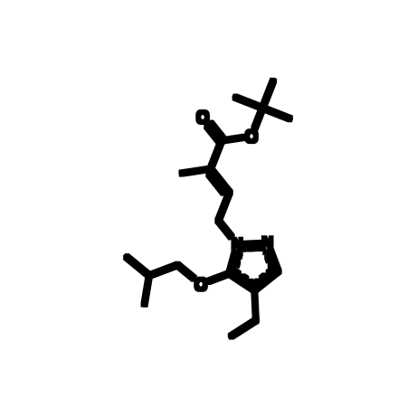 CCc1cnn(C/C=C(\C)C(=O)OC(C)(C)C)c1OCC(C)C